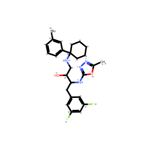 Cc1nnc(NC(Cc2cc(F)cc(F)c2)C(O)CNC2(c3cccc(C(C)(C)C)c3)CCCCC2)o1